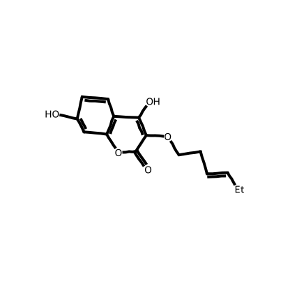 CCC=CCCOc1c(O)c2ccc(O)cc2oc1=O